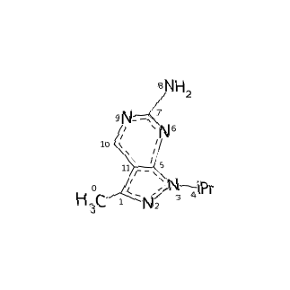 Cc1nn(C(C)C)c2nc(N)ncc12